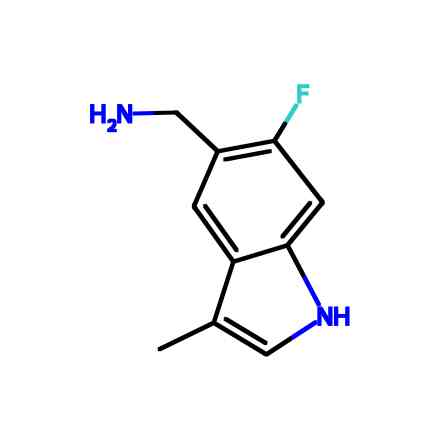 Cc1c[nH]c2cc(F)c(CN)cc12